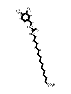 O=C(O)CCCCCCCCCCCCCCNC(=O)NCc1ccc(C(F)(F)F)c(C(F)(F)F)c1